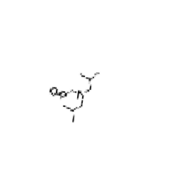 CC(C)CN(CP=O)CC(C)C